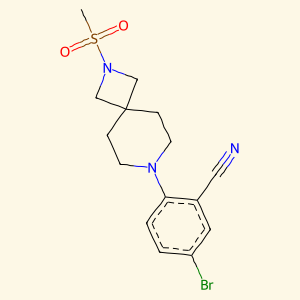 CS(=O)(=O)N1CC2(CCN(c3ccc(Br)cc3C#N)CC2)C1